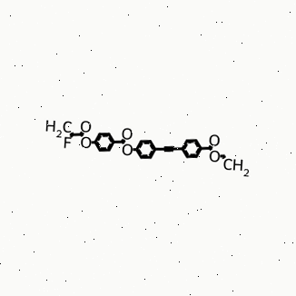 C=COC(=O)c1ccc(C#Cc2ccc(OC(=O)c3ccc(OC(=O)C(=C)F)cc3)cc2)cc1